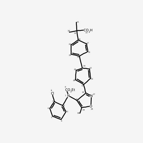 CCOC(=O)N(c1ccccc1Cl)c1c(-c2ccc(-c3ccc(C(C)(C)C(=O)O)cc3)cc2)noc1C